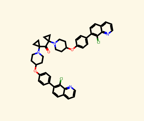 O=C(C1(N2CCC(Oc3ccc(-c4ccc5cccnc5c4Cl)cc3)CC2)CC1)C1(N2CCC(Oc3ccc(-c4ccc5cccnc5c4Cl)cc3)CC2)CC1